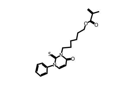 C=C(C)C(=O)OCCCCCCn1c(=O)ccn(-c2ccccc2)c1=S